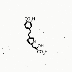 O=C(O)/C(O)=C/c1ccc(CCc2ccc(C(=O)O)cc2)cn1